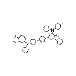 CC1C=CC(n2c3ccccc3c3c(-c4ccc(-c5ccc(N(c6ccccc6)C6C=CC=C7C(=C6)C=CCC7C)cc5)cc4)cc4c5ccccc5oc4c32)=CC1